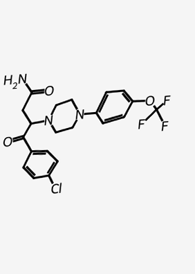 NC(=O)CC(C(=O)c1ccc(Cl)cc1)N1CCN(c2ccc(OC(F)(F)F)cc2)CC1